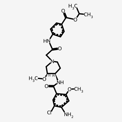 COc1cc(N)c(Cl)cc1C(=O)N[C@@H]1CCN(CC(=O)Nc2ccc(C(=O)OC(C)C)cc2)C[C@@H]1OC